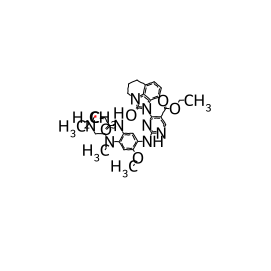 C=CC(=O)Nc1cc(Nc2ncc(C(=O)OCC)c(-n3c(=O)n4c5c(cccc53)CCC4)n2)c(OC)cc1N(C)CCN(C)C